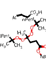 CC(=O)CCC(=O)O.CCCCCC(C)(C)OOC(C)(CCC(=O)OCCCC)OOC(C)(C)CCCCC